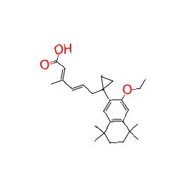 CCOc1cc2c(cc1C1(CC=CC(C)=CC(=O)O)CC1)C(C)(C)CCC2(C)C